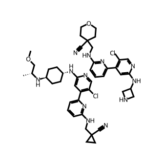 COC[C@@H](C)N[C@H]1CC[C@H](Nc2cc(-c3cccc(NCC4(C#N)CC4)n3)c(Cl)cn2)CC1.N#CC1(CNc2cccc(-c3cc(NC4CNC4)ncc3Cl)n2)CCOCC1